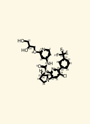 O=C(Nc1ccnc(OCC(O)CO)c1)N1c2nc(-c3cccc(C(F)(F)F)c3)c(Cl)cc2N2CC[C@H]1C2